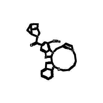 COc1cc(C(=O)N2CC3CC4CC2[C@H]43)cc2nc3n(c12)Cc1ccn(n1)CCCCCCn1c-3cc2ccccc21